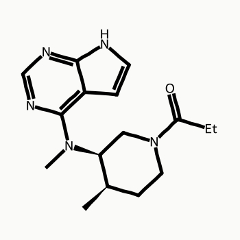 CCC(=O)N1CC[C@@H](C)[C@@H](N(C)c2ncnc3[nH]ccc23)C1